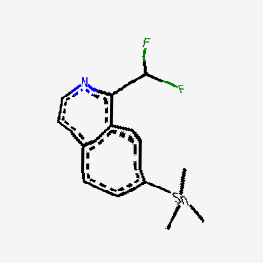 [CH3][Sn]([CH3])([CH3])[c]1ccc2ccnc(C(F)F)c2c1